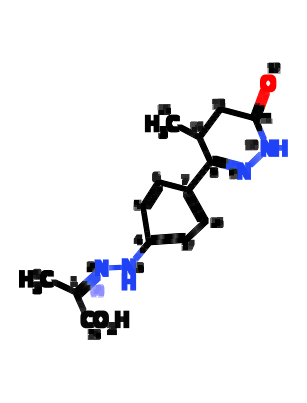 C/C(=N/Nc1ccc(C2=NNC(=O)CC2C)cc1)C(=O)O